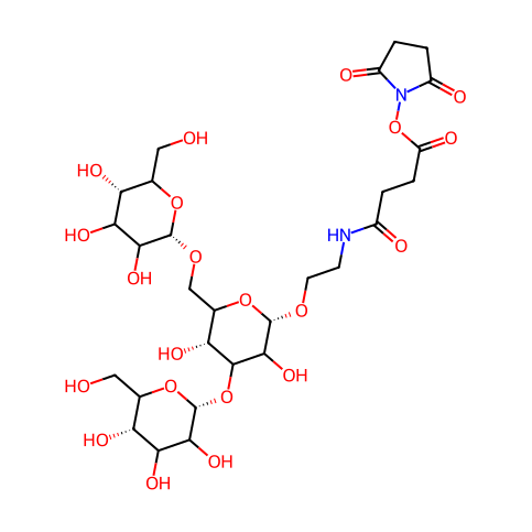 O=C(CCC(=O)ON1C(=O)CCC1=O)NCCO[C@H]1OC(CO[C@H]2OC(CO)[C@@H](O)C(O)C2O)[C@@H](O)C(O[C@H]2OC(CO)[C@@H](O)C(O)C2O)C1O